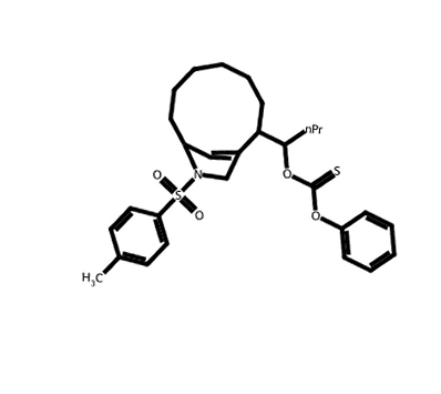 CCCC(OC(=S)Oc1ccccc1)C1CCCCCCC2C=C1CN2S(=O)(=O)c1ccc(C)cc1